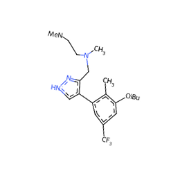 CNCCN(C)Cc1n[nH]cc1-c1cc(C(F)(F)F)cc(OCC(C)C)c1C